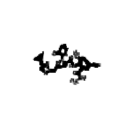 CNC(=O)c1cc(C#N)cc(C)c1NC(=O)c1cc(Cn2ncc(C3CC3)n2)nn1-c1ncccc1Cl